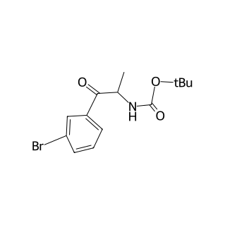 CC(NC(=O)OC(C)(C)C)C(=O)c1cccc(Br)c1